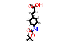 CC(C)(C)OC(=O)Nc1ccc(C=CC(=O)O)cc1